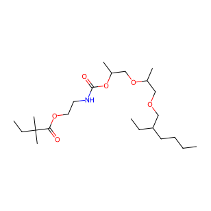 CCCCC(CC)COCC(C)OCC(C)OC(=O)NCCOC(=O)C(C)(C)CC